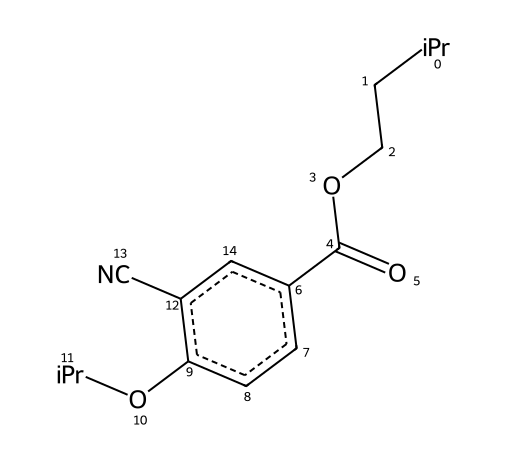 CC(C)CCOC(=O)c1ccc(OC(C)C)c(C#N)c1